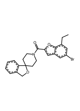 CCc1cc(Br)cc2cc(C(=O)N3CCC4(CC3)OCc3ccccc34)oc12